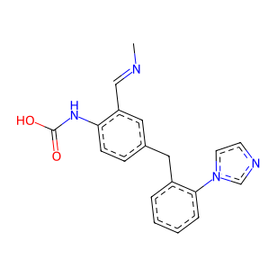 CN=Cc1cc(Cc2ccccc2-n2ccnc2)ccc1NC(=O)O